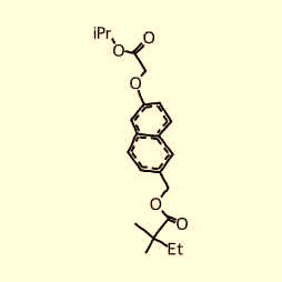 CCC(C)(C)C(=O)OCc1ccc2cc(OCC(=O)OC(C)C)ccc2c1